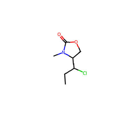 CCC(Cl)C1COC(=O)N1C